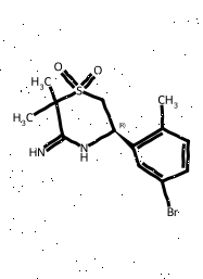 Cc1ccc(Br)cc1[C@@H]1CS(=O)(=O)C(C)(C)C(=N)N1